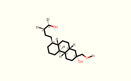 CCOC[C@@]1(O)CC[C@H]2[C@H](CC[C@H]3[C@H](CC[C@@H](CC)[C@@H](O)CC)CCC[C@@H]32)C1